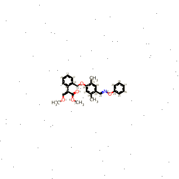 CO/C=C(\C(=O)OC)c1ccccc1COc1cc(C)c(/C=N/Oc2ccccc2)cc1C